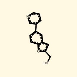 OCc1cc2cc(-c3cccnc3)ccc2o1